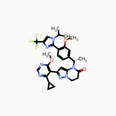 COc1cc([C@H](C)N2C(=O)CCn3nc(-c4c(OC)ncnc4C4CC4)cc32)ccc1-c1nc(C(F)(F)F)cn1C(C)C